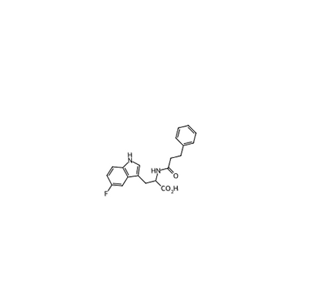 O=C(CCc1ccccc1)NC(Cc1c[nH]c2ccc(F)cc12)C(=O)O